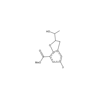 COC(=O)c1cc(F)cc2c1OC(C(C)O)C2